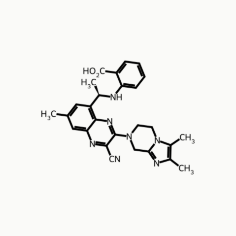 Cc1cc([C@@H](C)Nc2ccccc2C(=O)O)c2nc(N3CCn4c(nc(C)c4C)C3)c(C#N)nc2c1